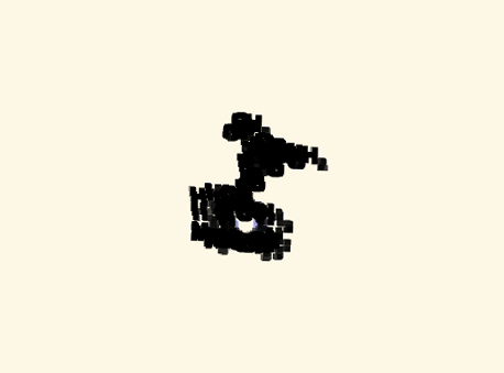 CO[C@H]1/C=C/O[C@@]2(C)Oc3c(C)c(O)c4c(=O)c(c5oc6cc(N7CCC(NC(=O)OCc8ccc(NC(=O)[C@H](CCCNC(N)=O)NC(=O)[C@@H](NC(=O)CCCCCN9C(=O)CC(C)C9=O)C(C)C)cc8)CC7)cc(O)c6nc-5c4c3C2=O)NC(=O)/C(C)=C\C=C\[C@H](C)[C@H](O)[C@@H](C)[C@@H](O)[C@@H](C)[C@H](OC(C)=O)[C@@H]1C